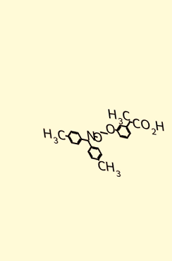 Cc1ccc(C(=NOCCOc2cccc(C(C)C(=O)O)c2)c2ccc(C)cc2)cc1